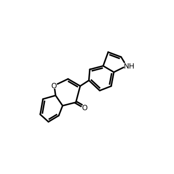 O=C1C(c2ccc3[nH]ccc3c2)=COC2C=CC=CC12